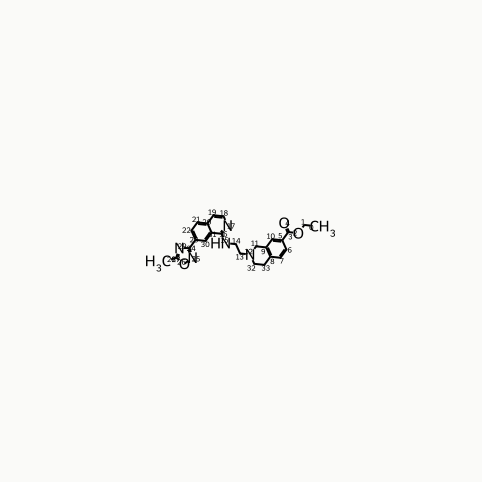 CCOC(=O)c1ccc2c(c1)CN(CCNc1nccc3ccc(-c4noc(C)n4)cc13)CC2